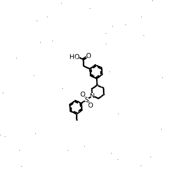 Cc1cccc(S(=O)(=O)N2CCCC(c3cccc(CC(=O)O)c3)C2)c1